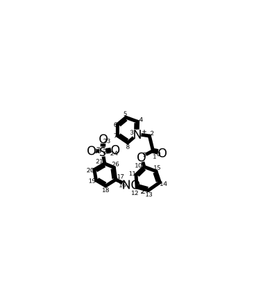 O=C(C[n+]1ccccc1)Oc1ccccc1.O=[N+]([O-])c1cccc(S(=O)(=O)[O-])c1